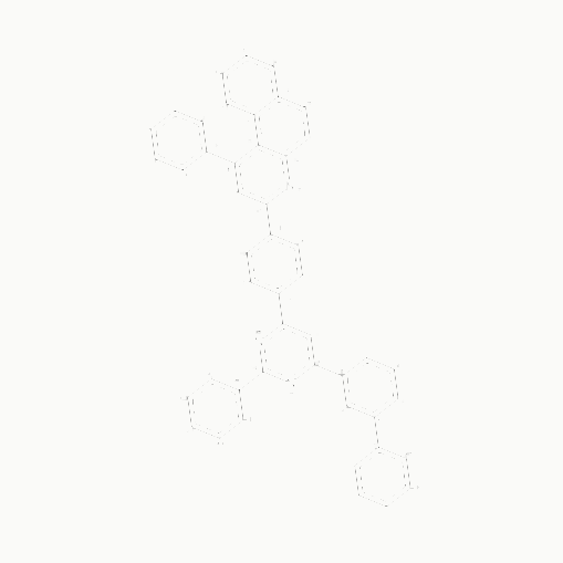 c1ccc(-c2cccc(-c3cc(-c4ccc(-c5cc(-c6ccccc6)c6c(ccc7ccccc76)n5)cc4)nc(-c4ccccc4)n3)c2)cc1